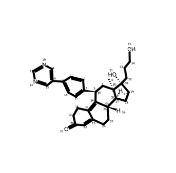 C[C@@]12C[C@H](c3ccc(-c4cncnc4)cc3)C3=C4CCC(=O)C=C4CC[C@H]3[C@@H]1CC[C@]2(O)CCCO